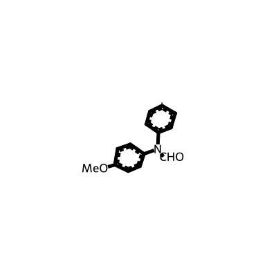 COc1ccc(N(C=O)c2cc[c]cc2)cc1